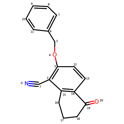 N#Cc1c(OCc2ccccc2)ccc2c1CCCC2=O